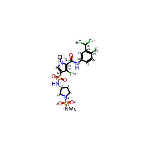 CNS(=O)(=O)N1CC[C@@H](NS(=O)(=O)c2cn(C)c(C(=O)Nc3ccc(F)c(C(F)F)c3)c2F)C1